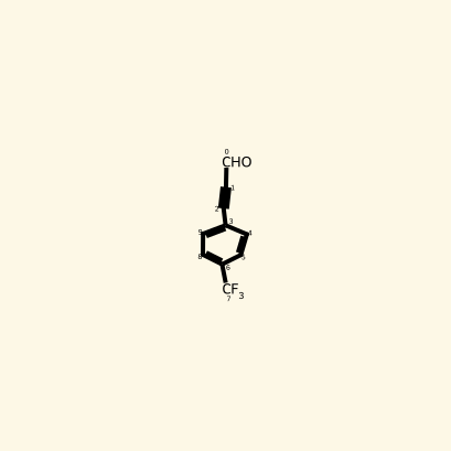 O=CC#Cc1ccc(C(F)(F)F)cc1